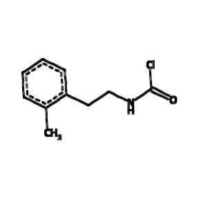 Cc1ccccc1CCNC(=O)Cl